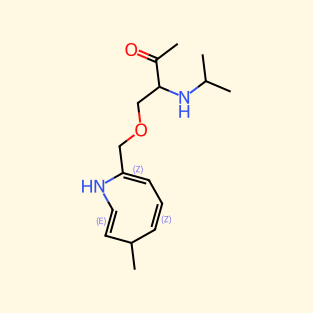 CC(=O)C(COC/C1=C/C=C\C(C)/C=C/N1)NC(C)C